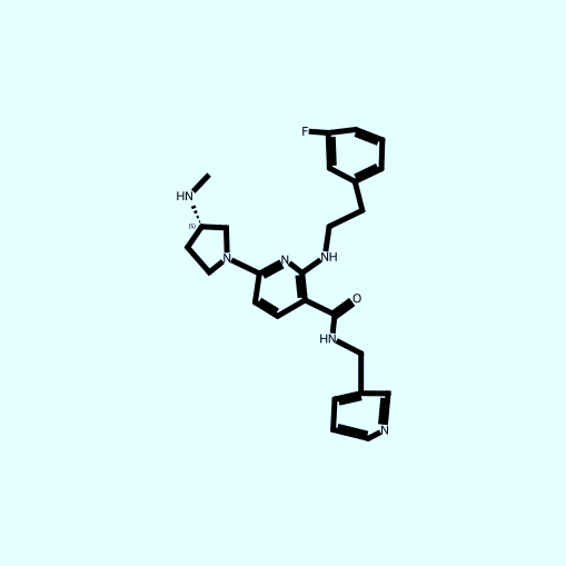 CN[C@H]1CCN(c2ccc(C(=O)NCc3cccnc3)c(NCCc3cccc(F)c3)n2)C1